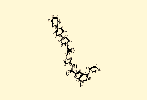 O=C(NC1CCN(CC(=O)N2CCN(c3ccc(-c4ncccn4)cc3)CC2)C1)c1cc2c(-n3ccnc3)n[nH]c2s1